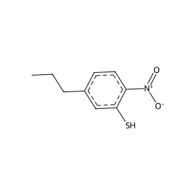 CCCc1ccc([N+](=O)[O-])c(S)c1